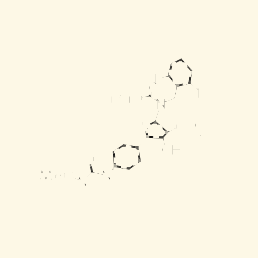 CCOC(=O)c1c(N(Cc2c(F)cccc2F)C(=O)OCC(C)C)sc(-c2ccc(NC(=O)NOC)cc2)c1C